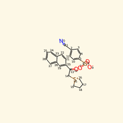 N#Cc1ccc(S(=O)(=O)[O-])cc1.O=C(C[S+]1CCCC1)c1ccc2ccccc2c1